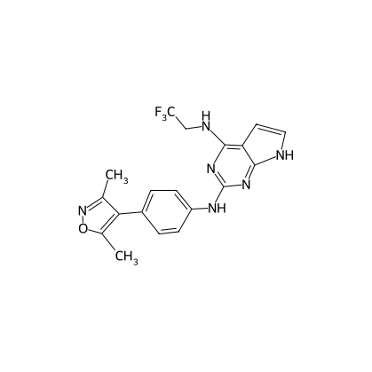 Cc1noc(C)c1-c1ccc(Nc2nc(NCC(F)(F)F)c3cc[nH]c3n2)cc1